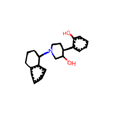 Oc1ccccc1C1CCN(C2CCCc3ccccc32)CC1O